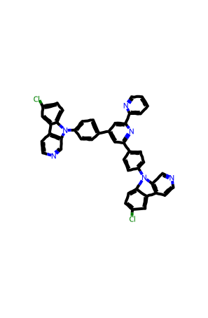 Clc1ccc2c(c1)c1ccncc1n2-c1ccc(-c2cc(-c3ccc(-n4c5ccc(Cl)cc5c5ccncc54)cc3)nc(-c3ccccn3)c2)cc1